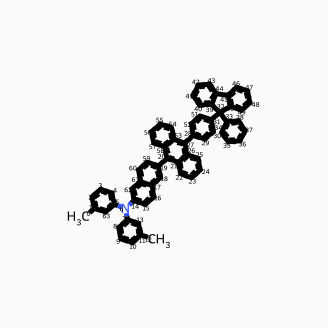 Cc1cccc(N(c2cccc(C)c2)c2ccc3cc(-c4c5ccccc5c(-c5ccc(C6(c7ccccc7)c7ccccc7-c7ccccc76)cc5)c5ccccc45)ccc3c2)c1